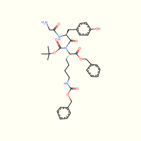 CC(C)(C)OC(=O)N(C(=O)[C@H](Cc1ccc(O)cc1)NC(=O)CN)[C@@H](CCCCNC(=O)OCc1ccccc1)C(=O)OCc1ccccc1